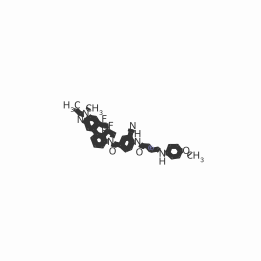 CCc1nc2cc(-c3cccc4c3CCN4C(=O)c3ccc(NC(=O)/C=C/CNC4CCC(OC)CC4)c(C#N)c3)c(C(F)(F)F)cc2n1C